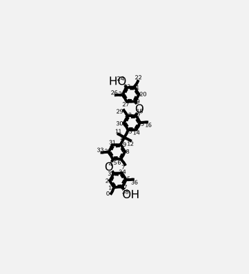 Cc1cc(Oc2c(C)cc(C(C)(C)c3cc(C)c(Oc4cc(C)c(O)c(C)c4)c(C)c3)cc2C)cc(C)c1O